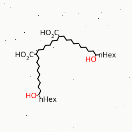 CCCCCCC(O)CCCCCCCCCC(CCCCCCC(CCCCCCCCCC(O)CCCCCC)C(=O)O)C(=O)O